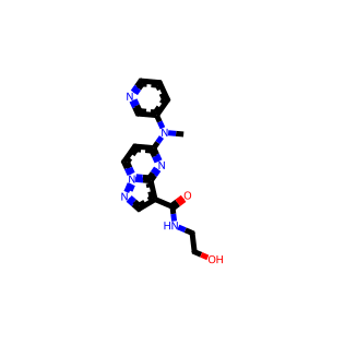 CN(c1cccnc1)c1ccn2ncc(C(=O)NCCO)c2n1